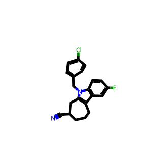 N#CC1CCCc2c(n(Cc3ccc(Cl)cc3)c3ccc(F)cc23)C1